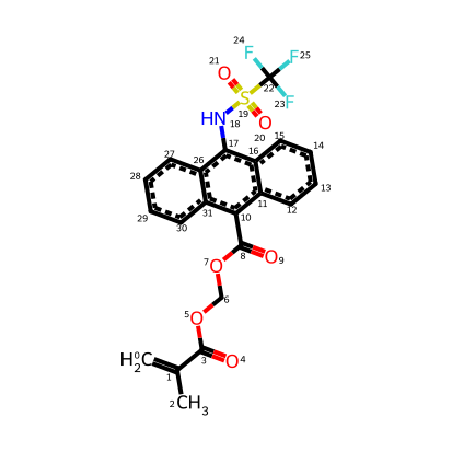 C=C(C)C(=O)OCOC(=O)c1c2ccccc2c(NS(=O)(=O)C(F)(F)F)c2ccccc12